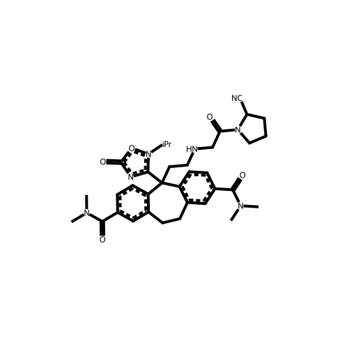 CC(C)n1oc(=O)nc1C1(CCNCC(=O)N2CCCC2C#N)c2ccc(C(=O)N(C)C)cc2CCc2cc(C(=O)N(C)C)ccc21